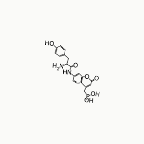 NC(Cc1ccc(O)cc1)C(=O)Nc1ccc2c(CP(O)O)cc(=O)oc2c1